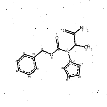 CC(C(N)=O)N(C(=O)OCc1ccccc1)n1ccnc1